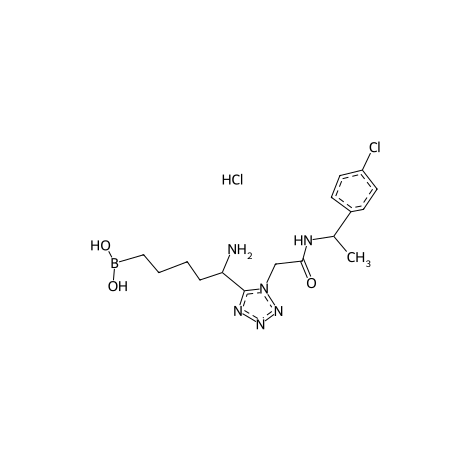 CC(NC(=O)Cn1nnnc1C(N)CCCCB(O)O)c1ccc(Cl)cc1.Cl